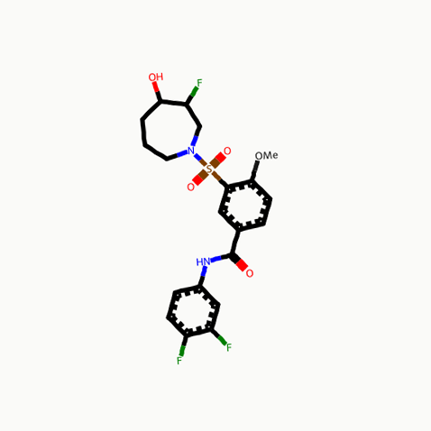 COc1ccc(C(=O)Nc2ccc(F)c(F)c2)cc1S(=O)(=O)N1CCCC(O)C(F)C1